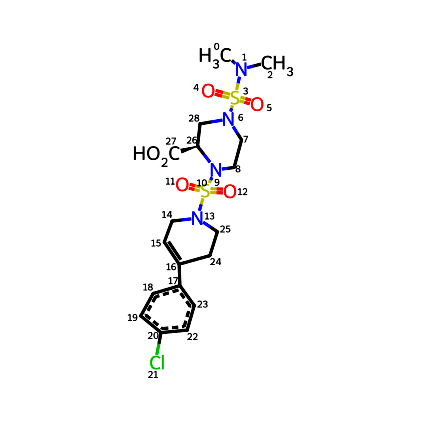 CN(C)S(=O)(=O)N1CCN(S(=O)(=O)N2CC=C(c3ccc(Cl)cc3)CC2)[C@@H](C(=O)O)C1